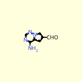 Nc1ncnn2cc(C=O)cc12